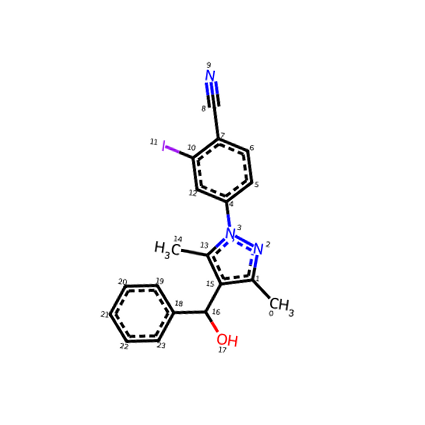 Cc1nn(-c2ccc(C#N)c(I)c2)c(C)c1C(O)c1ccccc1